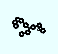 c1ccc(-c2cccc(N(c3ccc(-c4ccc5ccc6ccc7ccccc7c6c5c4)cc3)c3ccc(-c4cccc5c4oc4ccccc45)cc3)c2)cc1